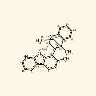 Cc1ccc2c(oc3ncccc32)c1C1[C@@H](C)N2CCC1(C)c1ccccc12